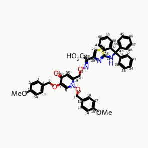 COc1ccc(COc2cn(OCc3ccc(OC)cc3)c(CO/N=C(\C(=O)O)c3csc(NC(c4ccccc4)(c4ccccc4)c4ccccc4)n3)cc2=O)cc1